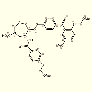 COCOc1ccc(C(=O)N[C@@H]2CN(C(=O)O)CCC[C@H]2OCc2ccc(C(=O)c3cc(OC)ccc3OCOC)cc2)cc1